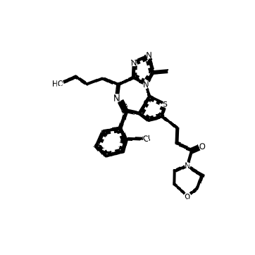 Cc1nnc2n1-c1sc(CCC(=O)N3CCOCC3)cc1C(c1ccccc1Cl)=NC2CCCO